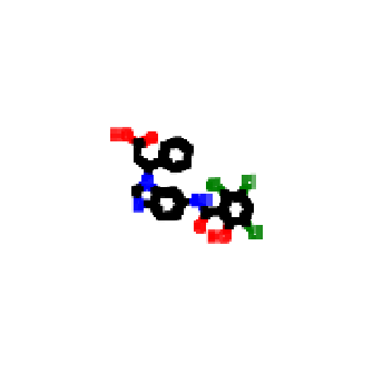 O=C(O)CC(c1ccccc1)n1cnc2ccc(NC(=O)c3c(O)c(Cl)cc(Cl)c3Cl)cc21